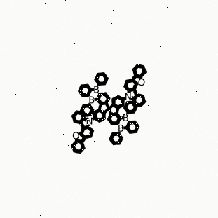 c1ccc(B2c3ccccc3B(c3ccccc3)c3c2ccc2c3-c3cc(-n4c5ccccc5c5c6oc7ccccc7c6ccc54)ccc3C23c2ccc(-n4c5ccccc5c5c6oc7ccccc7c6ccc54)cc2-c2c3ccc3c2B(c2ccccc2)c2ccccc2B3c2ccccc2)cc1